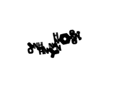 CC(=O)NCCNc1nc(Nc2ccc(S(=O)(=O)N(C)C)cc2)ncc1C